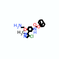 Cn1ncc(Cl)c1-c1cc(NC(=O)OC23CC4CC(CC(C4)C2)C3)ccc1OCCN